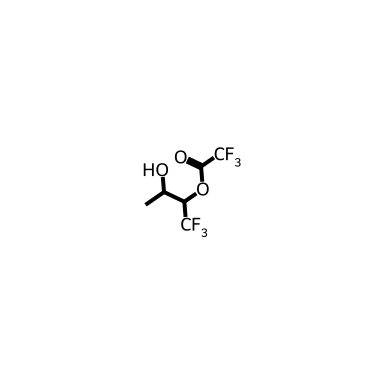 CC(O)C(OC(=O)C(F)(F)F)C(F)(F)F